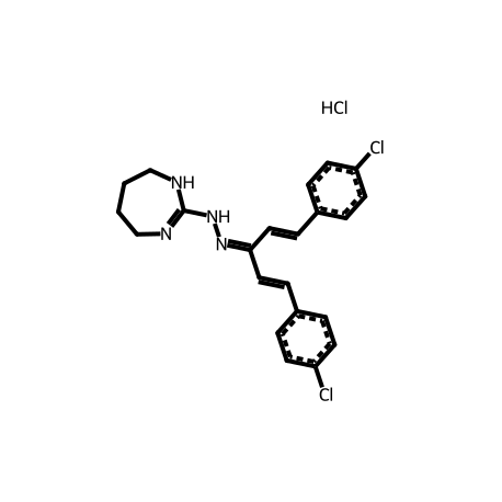 Cl.Clc1ccc(/C=C/C(/C=C/c2ccc(Cl)cc2)=NNC2=NCCCCN2)cc1